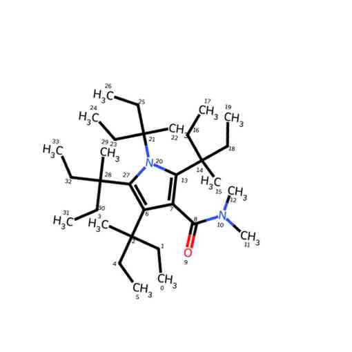 CCC(C)(CC)c1c(C(=O)N(C)C)c(C(C)(CC)CC)n(C(C)(CC)CC)c1C(C)(CC)CC